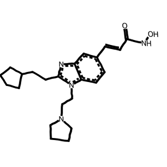 O=C(/C=C/c1ccc2c(c1)nc(CCC1CCCC1)n2CCN1CCCC1)NO